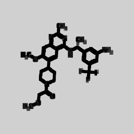 COCC(=O)N1CCC(c2cc3c(N[C@H](C)c4cc(N)cc(C(F)(F)F)c4)nc(C)nc3cc2OC)CC1